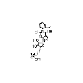 CC(Nc1nc(Cl)nc2c1cnn2[C@@H]1O[C@H](COCP(=O)(O)O)[C@@H](O)[C@H]1O)c1ccccc1